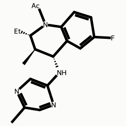 CC[C@H]1[C@H](C)[C@@H](Nc2cnc(C)cn2)c2cc(F)ccc2N1C(C)=O